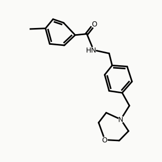 Cc1ccc(C(=O)NCc2ccc(CN3CCOCC3)cc2)cc1